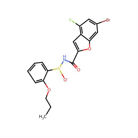 CCCOc1ccccc1[S+]([O-])NC(=O)c1cc2c(F)cc(Br)cc2o1